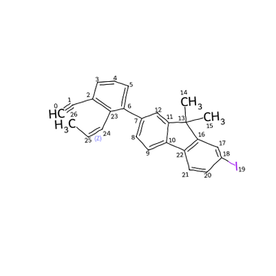 C#Cc1cccc(-c2ccc3c(c2)C(C)(C)c2cc(I)ccc2-3)c1/C=C\C